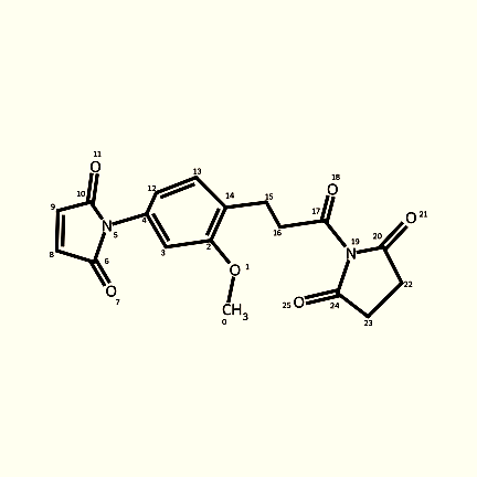 COc1cc(N2C(=O)C=CC2=O)ccc1CCC(=O)N1C(=O)CCC1=O